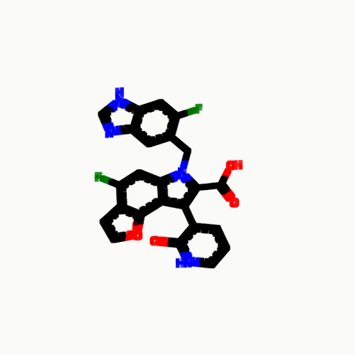 O=C(O)c1c(-c2ccc[nH]c2=O)c2c3occc3c(F)cc2n1Cc1cc2nc[nH]c2cc1F